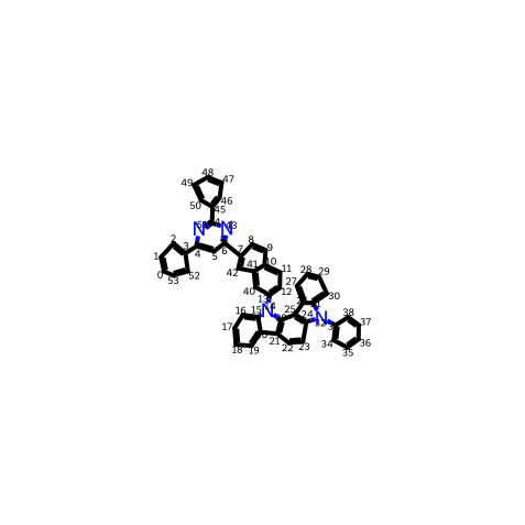 c1ccc(-c2cc(-c3ccc4ccc(-n5c6ccccc6c6ccc7c(c8ccccc8n7-c7ccccc7)c65)cc4c3)nc(-c3ccccc3)n2)cc1